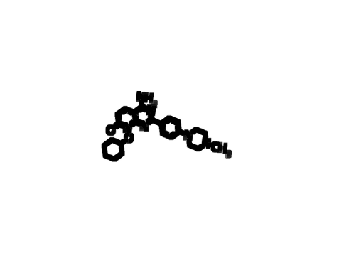 CN1CCN(c2ccc(-c3nc(N)c4ccc(=O)n(OC5CCCCC5)c4n3)cc2)CC1